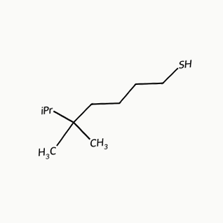 CC(C)C(C)(C)CCCCS